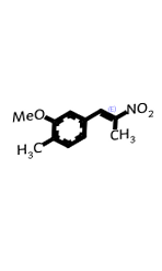 COc1cc(/C=C(\C)[N+](=O)[O-])ccc1C